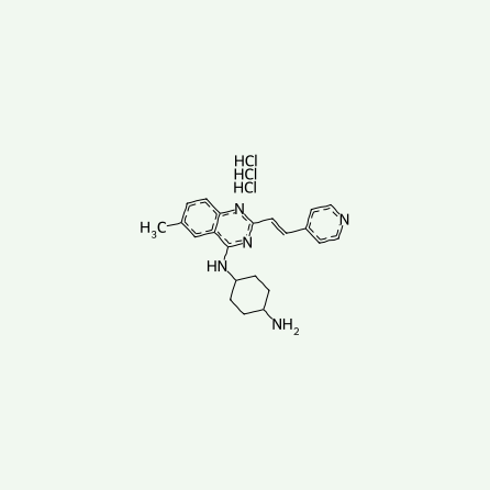 Cc1ccc2nc(C=Cc3ccncc3)nc(NC3CCC(N)CC3)c2c1.Cl.Cl.Cl